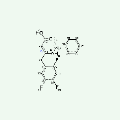 C[C@@H](N/C(=C\C(=O)O)Cc1cc(F)c(F)cc1F)c1ccccc1